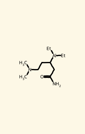 C[CH2][Al]([CH2]C)[CH](CCN(C)C)CC(N)=O